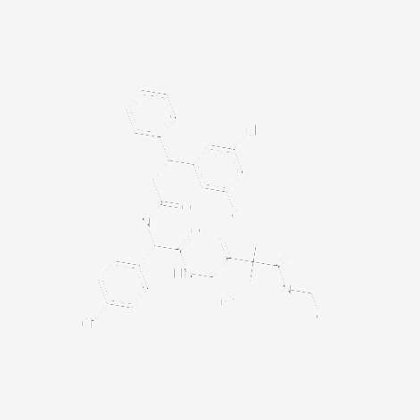 CC(C)[C@H](NC(=O)C(NC(=O)CC(c1ccccc1)c1cc(Cl)cc(Cl)c1)c1ccc(Cl)cc1)C(=O)C(F)(F)C(=O)NCC(F)(F)F